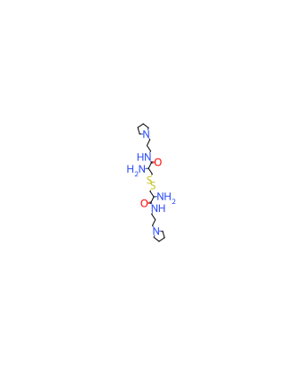 NC(CSSCC(N)C(=O)NCCCN1CCCC1)C(=O)NCCCN1CCCC1